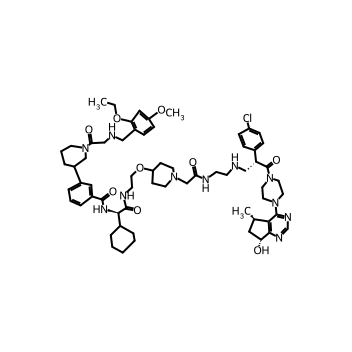 CCOc1cc(OC)ccc1CNCC(=O)N1CCCC(c2cccc(C(=O)N[C@@H](C(=O)NCCOC3CCN(CC(=O)NCCNC[C@@H](C(=O)N4CCN(c5ncnc6c5[C@H](C)C[C@H]6O)CC4)c4ccc(Cl)cc4)CC3)C3CCCCC3)c2)C1